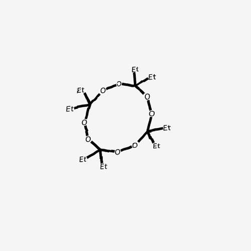 CCC1(CC)OOC(CC)(CC)OOC(CC)(CC)OOC(CC)(CC)OO1